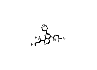 CC(C)N/C=C\C(=N)c1cc(N2CCOC[C@H]2C)nc2c(/C(N)=C/C=N)nccc12